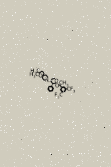 C[C@@H](O[C@H]1OCC[C@@H](CN2CCC3(CC2)CCC(C)(C)O3)[C@@H]1c1ccccc1)c1cc(C(F)(F)F)cc(C(F)(F)F)c1